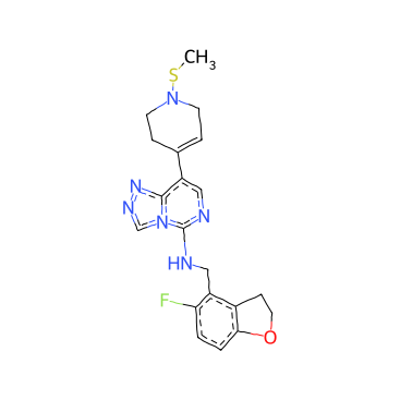 CSN1CC=C(c2cnc(NCc3c(F)ccc4c3CCO4)n3cnnc23)CC1